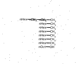 CCCCCCC.CCCCCCC.CCCCCCC.CCCCCCC.CCCCCCC.CCCCCCC.CCCCCCC.CCCCCCC.CCCCCCC.CCCCCCCCO